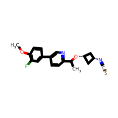 COc1ccc(-c2ccc(C(C)O[C@H]3C[C@@H](N=C=S)C3)nc2)cc1F